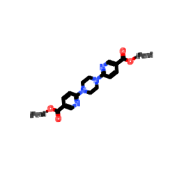 CCC[C@H](C)OC(=O)c1ccc(N2CCN(c3ccc(C(=O)O[C@@H](C)CCC)cn3)CC2)nc1